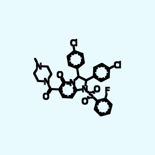 CN1CCN(C(=O)c2ccc3n(c2=O)C(c2ccc(Cl)cc2)C(c2ccc(Cl)cc2)N3S(=O)(=O)c2ccccc2F)CC1